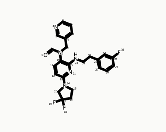 O=CN(Cc1cccnc1)c1ccc(N2CCC(F)(F)C2)nc1NCCc1cccc(F)c1